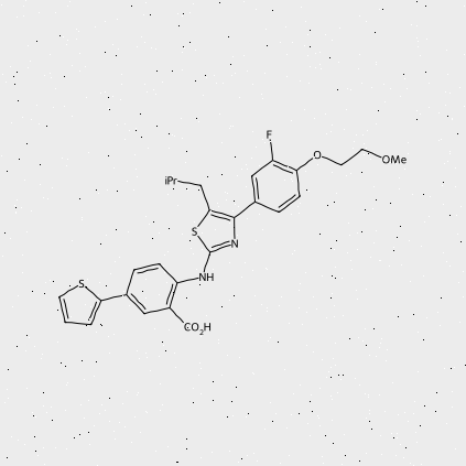 COCCOc1ccc(-c2nc(Nc3ccc(-c4cccs4)cc3C(=O)O)sc2CC(C)C)cc1F